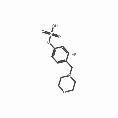 F.O=S(=O)(O)Oc1ccc(CN2CCOCC2)cc1